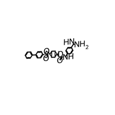 N=C(N)c1ccc(NC(=O)ON2CCN(S(=O)(=O)c3ccc(-c4ccccc4)cc3)CC2)cc1